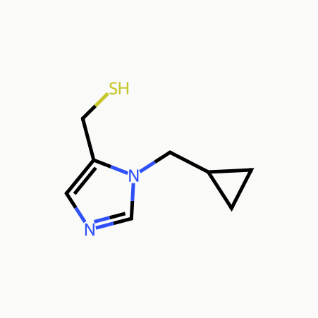 SCc1cncn1CC1CC1